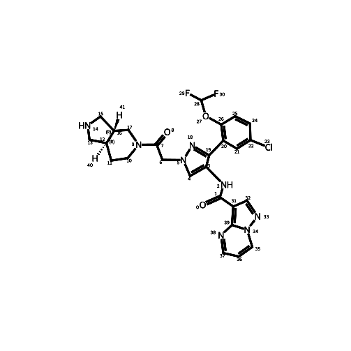 O=C(Nc1cn(CC(=O)N2CC[C@H]3CNC[C@@H]3C2)nc1-c1cc(Cl)ccc1OC(F)F)c1cnn2cccnc12